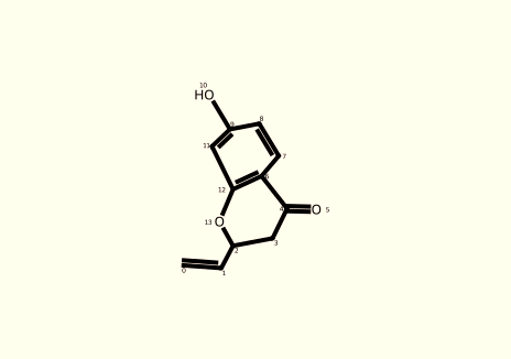 C=CC1CC(=O)c2ccc(O)cc2O1